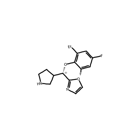 CCc1cc(F)cc(F)c1O[C@H](c1ncco1)C1CCNC1